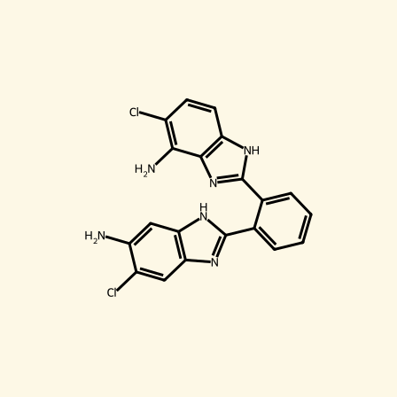 Nc1cc2[nH]c(-c3ccccc3-c3nc4c(N)c(Cl)ccc4[nH]3)nc2cc1Cl